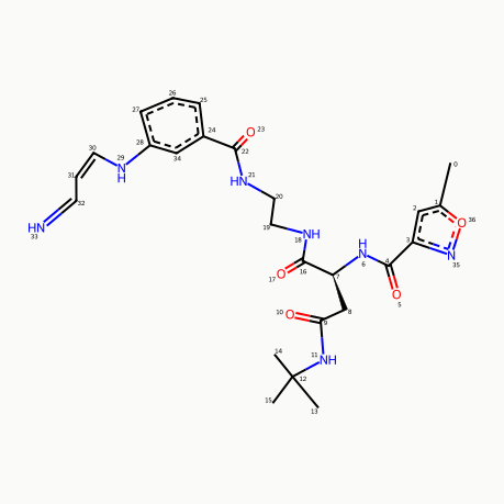 Cc1cc(C(=O)N[C@@H](CC(=O)NC(C)(C)C)C(=O)NCCNC(=O)c2cccc(N/C=C\C=N)c2)no1